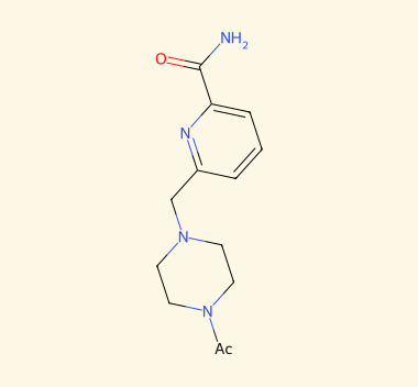 CC(=O)N1CCN(Cc2cccc(C(N)=O)n2)CC1